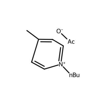 CC(=O)[O-].CCCC[n+]1ccc(C)cc1